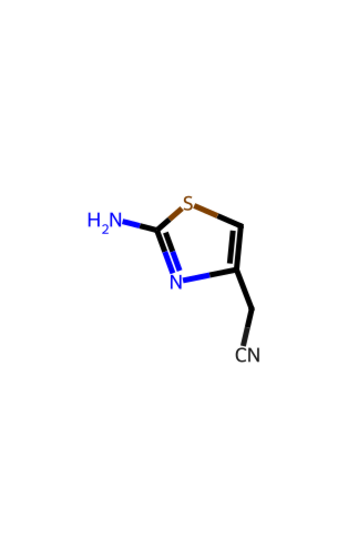 N#CCc1csc(N)n1